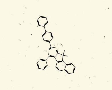 CC1(C)c2nc(-c3ccc(-c4ccccc4)cc3)nc(-c3ccccc3)c2-c2ccc3ccccc3c21